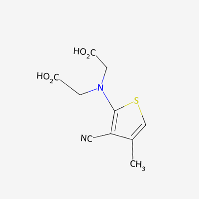 Cc1csc(N(CC(=O)O)CC(=O)O)c1C#N